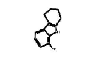 FC(F)(F)c1cccc2c3c([nH]c12)CC[CH]C3